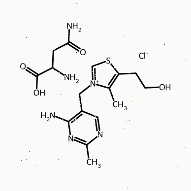 Cc1ncc(C[n+]2csc(CCO)c2C)c(N)n1.NC(=O)CC(N)C(=O)O.[Cl-]